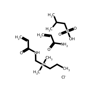 C=CC(=O)NC[N+](C)(C)CCC.C=CC(N)=O.CC(C)CS(=O)(=O)O.[Cl-]